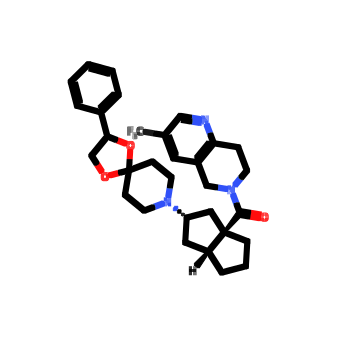 O=C(N1CCc2ncc(C(F)(F)F)cc2C1)[C@@]12CCC[C@@H]1C[C@H](N1CCC3(CC1)OCC(c1ccccc1)O3)C2